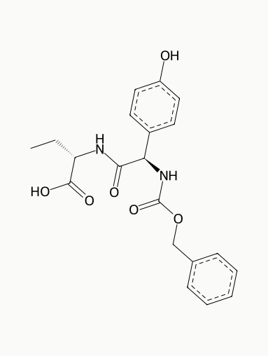 CC[C@H](NC(=O)[C@H](NC(=O)OCc1ccccc1)c1ccc(O)cc1)C(=O)O